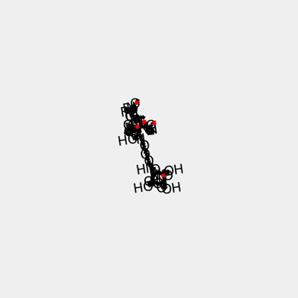 CCOc1ccc(C(=O)N2CCN(c3ccc(-c4cccnc4OCC)nc3CN(CCCN(CCOCCOCCOCCNC(=O)CN3CCN(CC(=O)O)CCN(CC(=O)O)CCN(CC(=O)O)CC3)CC(=O)O)S(=O)(=O)c3ccccc3[N+](=O)[O-])[C@H](CC)C2)c(C(F)(F)F)n1